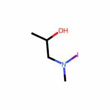 CC(O)CN(C)I